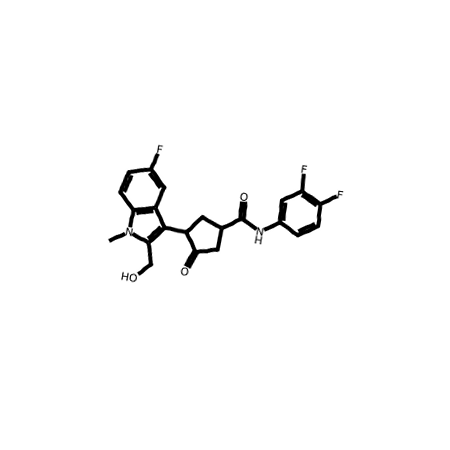 Cn1c(CO)c(C2CC(C(=O)Nc3ccc(F)c(F)c3)CC2=O)c2cc(F)ccc21